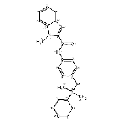 Cn1c(C(=O)Nc2ccc(C[N+](C)(C)C3CCOCC3)cc2)cc2ccccc21